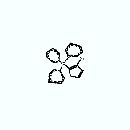 CCC1=C([Si](c2ccccc2)(c2ccccc2)c2ccccc2)CC=C1